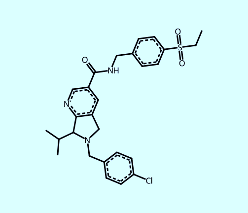 CCS(=O)(=O)c1ccc(CNC(=O)c2cnc3c(c2)CN(Cc2ccc(Cl)cc2)C3C(C)C)cc1